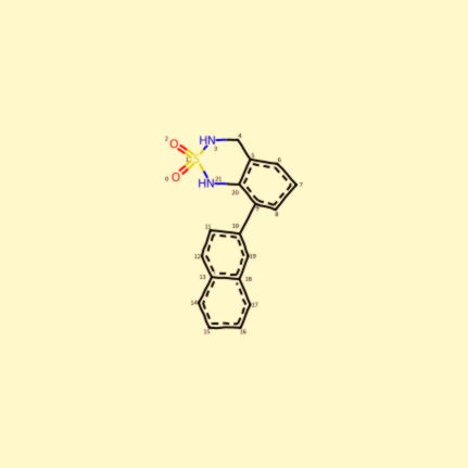 O=S1(=O)NCc2cccc(-c3ccc4ccccc4c3)c2N1